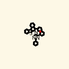 c1ccc(-c2ncc(-n3c4ccccc4c4c5ccccc5c5c6ccccc6sc5c43)c(-c3ccccc3)n2)cc1